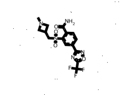 CN1CC(CS(=O)(=O)c2cc(-c3noc(C(F)(F)F)n3)ccc2C(N)=O)C1